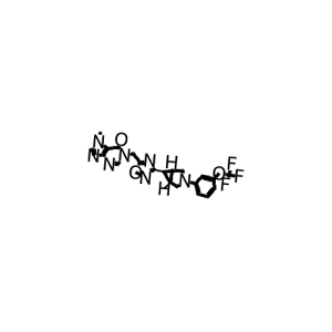 Cn1cnc2ncn(Cc3nc([C@H]4[C@@H]5CN(c6cccc(OC(F)(F)F)c6)C[C@@H]54)no3)c(=O)c21